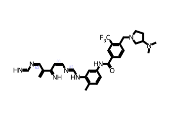 C=C(/C=N\C=N)C(=N)/C=C\N=C\Nc1cc(NC(=O)c2ccc(CN3CCC(N(C)C)C3)c(C(F)(F)F)c2)ccc1C